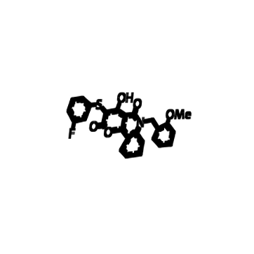 COc1ccccc1Cn1c(=O)c2c(O)c(Sc3cccc(F)c3)c(=O)oc2c2ccccc21